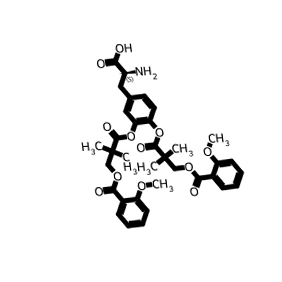 COc1ccccc1C(=O)OCC(C)(C)C(=O)Oc1ccc(C[C@H](N)C(=O)O)cc1OC(=O)C(C)(C)COC(=O)c1ccccc1OC